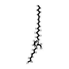 CCCCCCCCCCCCCCCCN1C=CN(CCCCCCCC)C1CC